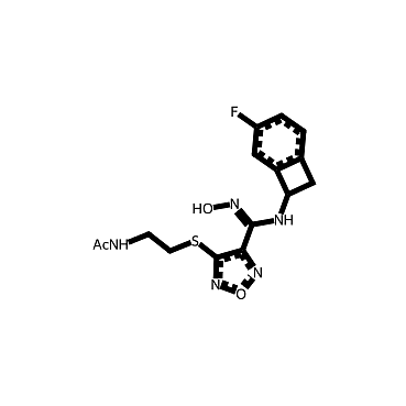 CC(=O)NCCSc1nonc1C(=NO)NC1Cc2ccc(F)cc21